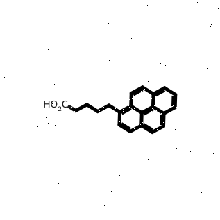 O=C(O)CCCCc1ccc2ccc3cccc4ccc1c2c34